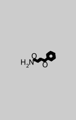 NC(=O)/C=C/C(=O)c1ccccc1